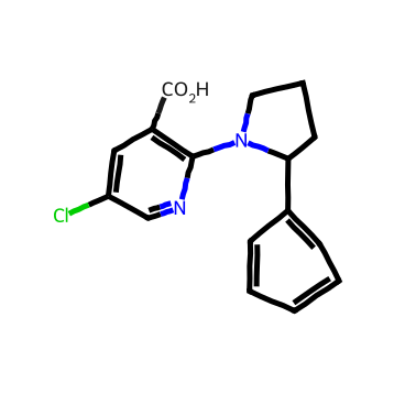 O=C(O)c1cc(Cl)cnc1N1CCCC1c1ccccc1